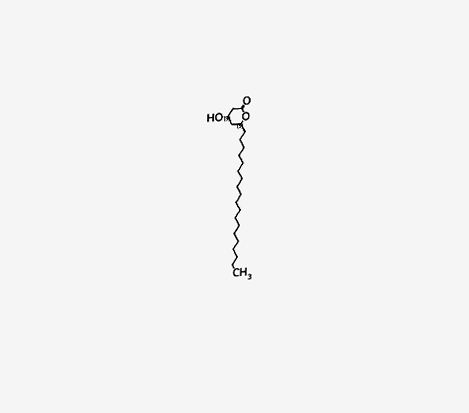 CCCCCCCCCCCCCCCCCCC[C@H]1C[C@H](O)CC(=O)O1